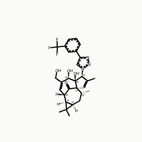 CC1=C[C@]23C(=O)[C@@H](C=C(CO)[C@@H](O)[C@]2(O)[C@H]1n1cc(-c2cccc(C(F)(F)F)c2)nn1)[C@H]1[C@@H](C[C@H]3C)C1(C)C